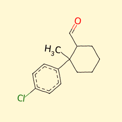 CC1(c2ccc(Cl)cc2)CCCCC1C=O